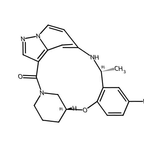 C[C@H]1Nc2ccn3ncc(c3c2)C(=O)N2CCC[C@H](C2)Oc2ccc(F)cc21